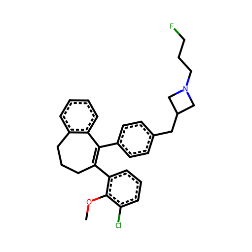 COc1c(Cl)cccc1C1=C(c2ccc(CC3CN(CCCF)C3)cc2)c2ccccc2CCC1